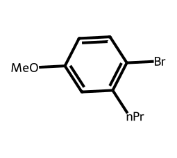 CCCc1cc(OC)ccc1Br